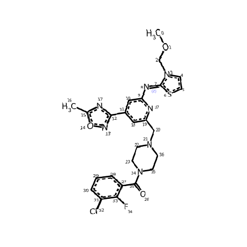 COCn1ccs/c1=N\c1cc(-c2noc(C)n2)cc(CN2CCN(C(=O)c3cccc(Cl)c3F)CC2)n1